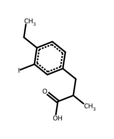 CCc1ccc(CC(C)C(=O)O)cc1I